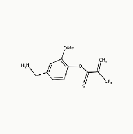 C=C(C(=O)Oc1ccc(CN)cc1OC)C(F)(F)F